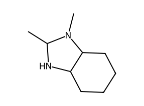 CC1NC2CCCCC2N1C